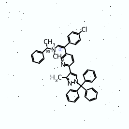 Cc1nn(C(c2ccccc2)(c2ccccc2)c2ccccc2)cc1-c1ccc(/C(=C\N(C)[C@H](C)c2ccccc2)c2ccc(Cl)cc2)cn1